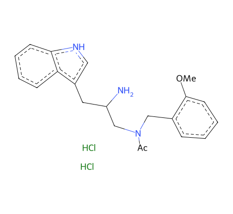 COc1ccccc1CN(CC(N)Cc1c[nH]c2ccccc12)C(C)=O.Cl.Cl